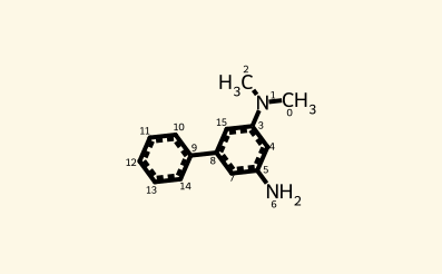 CN(C)c1cc(N)cc(-c2ccccc2)c1